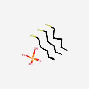 CCCCCS.CCCCCS.CCCCCS.O=P(O)(O)O